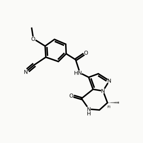 COc1ccc(C(=O)Nc2cnn3c2C(=O)NC[C@H]3C)cc1C#N